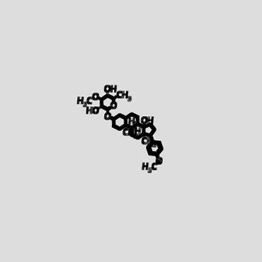 COc1ccc(C2CC[C@@]3(O)[C@@H]4CCC5CC(O[C@@H]6O[C@H](C)[C@@H](O)[C@H](OC)[C@H]6O)CC[C@]5(C)[C@@H]4CC[C@]23C)cc1